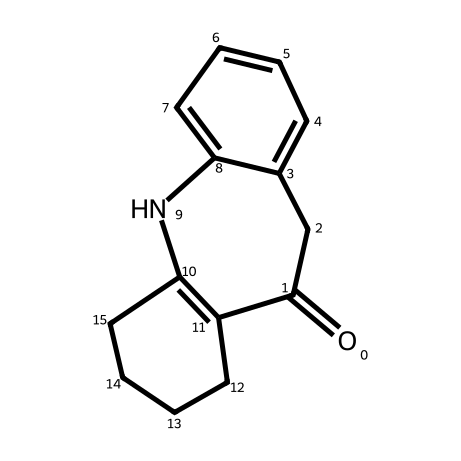 O=C1Cc2ccccc2NC2=C1CCCC2